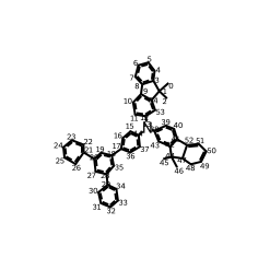 CC1(C)c2ccccc2-c2ccc(N(c3ccc(-c4cc(-c5ccccc5)cc(-c5ccccc5)c4)cc3)c3ccc4c(c3)C(C)(C)C3CC=CC=C43)cc21